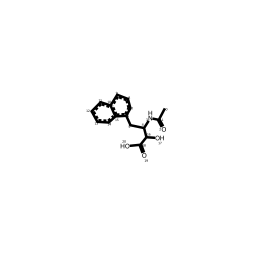 CC(=O)NC(Cc1cccc2ccccc12)C(O)C(=O)O